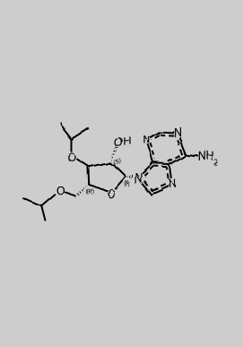 CC(C)OC[C@H]1O[C@@H](n2cnc3c(N)ncnc32)[C@@H](O)C1OC(C)C